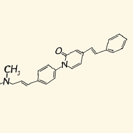 CCN(C)CC=Cc1ccc(-n2ccc(C=Cc3ccccc3)cc2=O)cc1